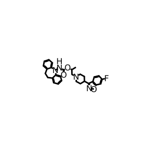 CC(CN1CCC(c2noc3cc(F)ccc23)CC1)OC(=O)NN1c2ccccc2CCc2ccccc21